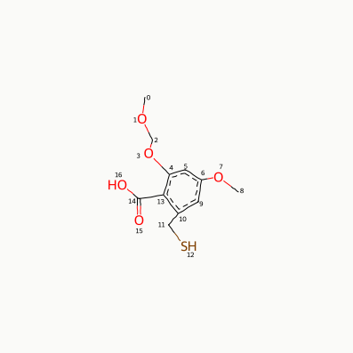 COCOc1cc(OC)cc(CS)c1C(=O)O